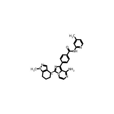 Cc1ccnc(NC(=O)c2ccc(-c3nc([C@H]4CCCc5c4cnn5C)n4ccnc(N)c34)cc2)c1